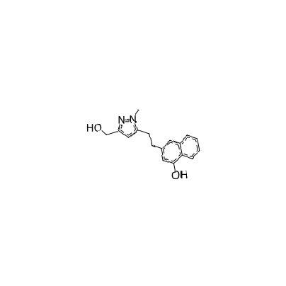 Cn1nc(CO)cc1CCc1cc(O)c2ccccc2c1